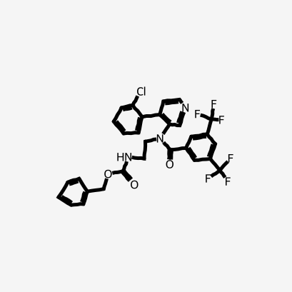 O=C(NCCN(C(=O)c1cc(C(F)(F)F)cc(C(F)(F)F)c1)c1cnccc1-c1ccccc1Cl)OCc1ccccc1